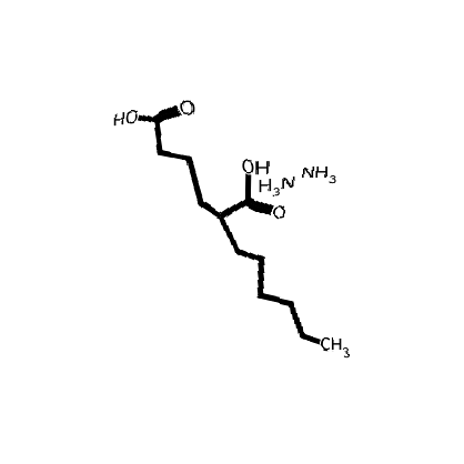 CCCCCCC(CCCC(=O)O)C(=O)O.N.N